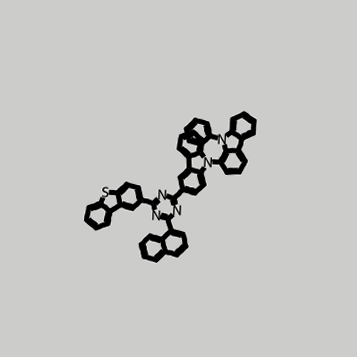 c1ccc(-n2c3ccccc3c3cccc(-n4c5ccccc5c5cc(-c6nc(-c7ccc8sc9ccccc9c8c7)nc(-c7cccc8ccccc78)n6)ccc54)c32)cc1